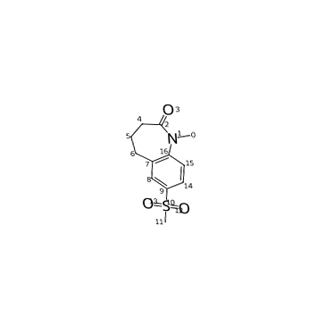 CN1C(=O)CCCc2cc(S(C)(=O)=O)ccc21